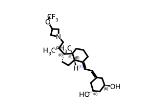 C[C@H](CN1CC(OC(F)(F)F)C1)[C@H]1CC[C@H]2/C(=C/C=C3C[C@@H](O)C[C@H](O)C3)CCC[C@]12C